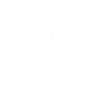 CC(C)Oc1cc([N+](=O)[O-])c(F)cc1Cl